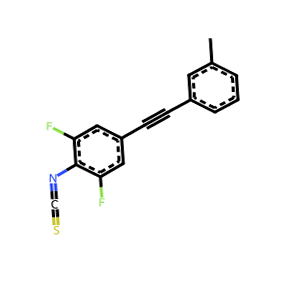 Cc1cccc(C#Cc2cc(F)c(N=C=S)c(F)c2)c1